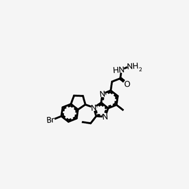 CCc1nc2c(C)cc(CC(=O)NN)nc2n1C1CCc2cc(Br)ccc21